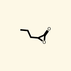 CCC[C]1OC1=O